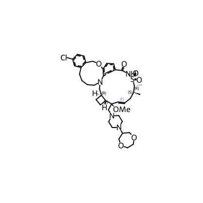 COC1(CN2CCN(C3COCCOC3)CC2)/C=C/C[C@H](C)[C@@H](C)S(=O)(=O)NC(=O)c2ccc3c(c2)N(CCCCc2cc(Cl)ccc2CO3)C[C@@H]2CC[C@H]21